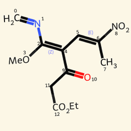 C=N/C(OC)=C(\C=C(/C)[N+](=O)[O-])C(=O)CC(=O)OCC